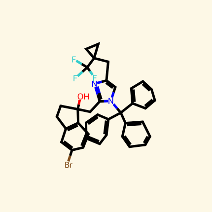 OC1(Cc2nc(CC3(C(F)(F)F)CC3)cn2C(c2ccccc2)(c2ccccc2)c2ccccc2)CCc2cc(Br)ccc21